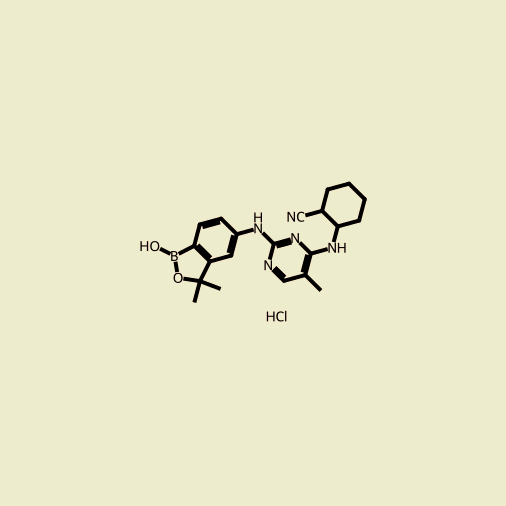 Cc1cnc(Nc2ccc3c(c2)C(C)(C)OB3O)nc1NC1CCCCC1C#N.Cl